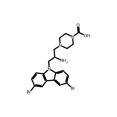 NC(CN1CCN(C(=O)O)CC1)Cn1c2ccc(Br)cc2c2cc(Br)ccc21